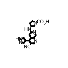 N#Cc1cnc2cnc(N[C@@H]3CCN(C(=O)O)C3)cc2c1-c1cn[nH]c1